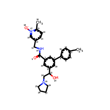 Cc1ccc(-c2cc(C(=O)NCc3ccc(C)[n+]([O-])c3)cc(C(O)CN3CCCC3)c2)cc1